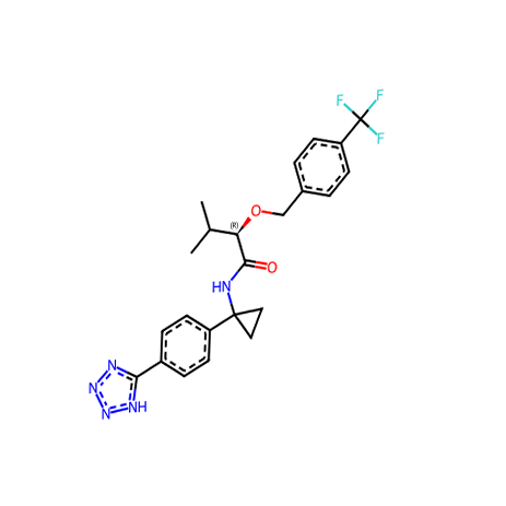 CC(C)[C@@H](OCc1ccc(C(F)(F)F)cc1)C(=O)NC1(c2ccc(-c3nnn[nH]3)cc2)CC1